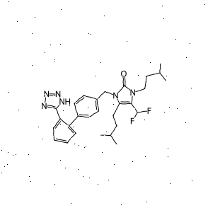 CC(C)CCc1c(C(F)F)n(CCC(C)C)c(=O)n1Cc1ccc(-c2ccccc2-c2nnn[nH]2)cc1